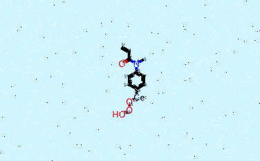 C=CC(=O)N(C)c1cc[c]([Ge][O]OO)cc1